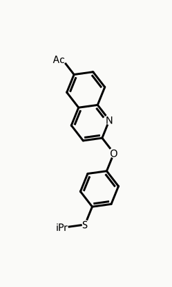 CC(=O)c1ccc2nc(Oc3ccc(SC(C)C)cc3)ccc2c1